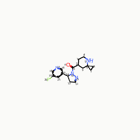 O=C(C1CCNC2(CC2)C1)N1N=CCC1c1cncc(F)c1